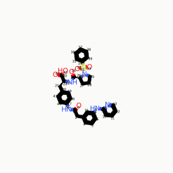 O=C(Cc1cccc(Nc2ccccn2)c1)Nc1ccc(C[C@H](NC(=O)[C@@H]2CCCN2S(=O)(=O)c2ccccc2)C(=O)O)cc1